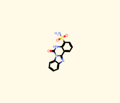 NS(=O)(=O)c1cccc2c1[nH]c(=O)n1c3ccccc3nc21